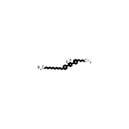 CCCCCCCCCCCCc1ccc(-c2ccc(-c3ccc(CCCCC)cc3)c(F)c2F)cc1